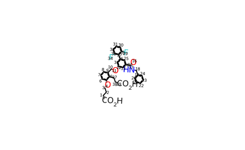 O=C(O)CCCOc1cccc(COc2cc(C(=O)NCc3ccccc3)cc(-c3c(F)cccc3F)c2)c1CCC(=O)O